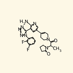 CC(C(=O)N1CC=C(c2cnc(N)c(-c3nnnn3-c3cccc(F)c3F)c2)CC1)N1CCCC1=O